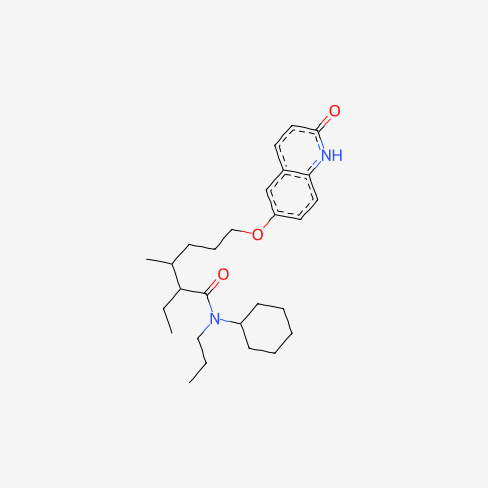 CCCN(C(=O)C(CC)C(C)CCCOc1ccc2[nH]c(=O)ccc2c1)C1CCCCC1